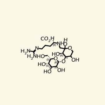 NC(N)=NCCC[C@@H](NCC1(O)OCC(O)[C@@H](O[C@H]2O[C@@H](CO)[C@@H](O)[C@H](O)[C@H]2O)[C@H]1O)C(=O)O